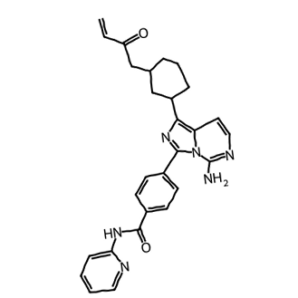 C=CC(=O)CC1CCCC(c2nc(-c3ccc(C(=O)Nc4ccccn4)cc3)n3c(N)nccc23)C1